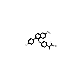 COc1ccc2c(Oc3ccc(C(C)C(=O)O)cc3)c(-c3ccc(O)cc3)ccc2c1